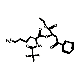 CCOC(=O)C(CC(=O)c1ccccc1)OC(=O)[C@H](CCCCN)NC(=O)C(F)(F)F